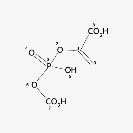 C=C(OP(=O)(O)OC(=O)O)C(=O)O